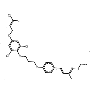 CCON=C(C)C=Cc1ccc(OCCCOc2c(Cl)cc(OCC=C(Cl)Cl)cc2Cl)cc1